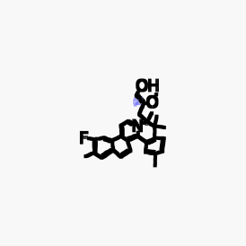 CO/C(=C\O)CC1(C)[n+]2ccc3c(ccc4cc(C)c(F)cc43)c2-c2cc(C)ccc2C1(C)C